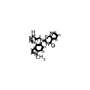 Cn1ccc2cc(N(Cc3nnn[nH]3)c3nc(=O)c4cccnc4s3)ccc21